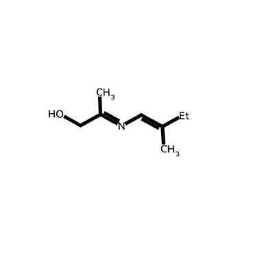 CC/C(C)=C/N=C(\C)CO